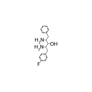 NC(Cc1ccccc1)C(O)C(N)Cc1ccc(F)cc1